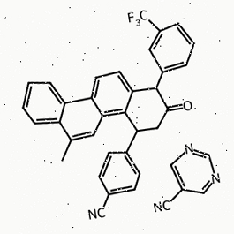 Cc1cc2c3c(ccc2c2ccccc12)C(c1cccc(C(F)(F)F)c1)C(=O)CC3c1ccc(C#N)cc1.N#Cc1cncnc1